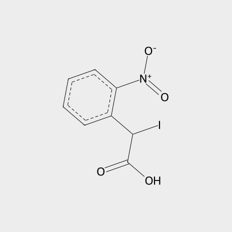 O=C(O)C(I)c1ccccc1[N+](=O)[O-]